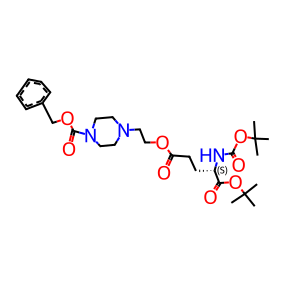 CC(C)(C)OC(=O)N[C@@H](CCC(=O)OCCN1CCN(C(=O)OCc2ccccc2)CC1)C(=O)OC(C)(C)C